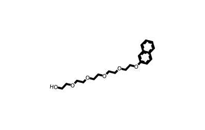 OCCOCCOCCOCCOCCOc1ccc2ccccc2c1